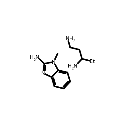 CCC(N)CCN.Cn1c(N)nc2ccccc21